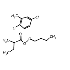 CCCCOOC(=O)C(C)CC.Cc1cc(Cl)ccc1[O]